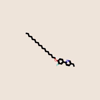 CCCCCCCCCCCCCCCCCCOc1ccc(-c2ccc(CC)cn2)cc1F